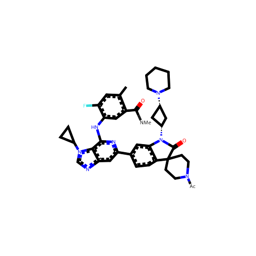 CNC(=O)c1cc(Nc2nc(-c3ccc4c(c3)N([C@H]3C[C@@H](N5CCCCC5)C3)C(=O)C43CCN(C(C)=O)CC3)cc3ncn(C4CC4)c23)c(F)cc1C